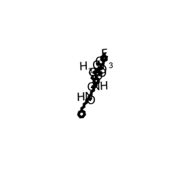 C[C@H](N(Cc1ccc(F)cc1)C(=O)CN1C(=O)O[C@@]2(CCc3cc(NC(=O)CCCNC(=O)CCCCCC4CCCCCC4)ccc32)C1=O)C(F)(F)F